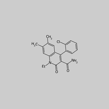 CCn1c(=O)c(C(N)=O)c(-c2ccccc2Cl)c2cc(C)c(C)cc21